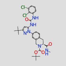 CNC(=O)[C@@H]1Cc2ccc(-n3nc(C(C)(C)C)cc3NC(=O)Nc3cccc(Cl)c3Cl)cc2CN1C(=O)OC(C)(C)C